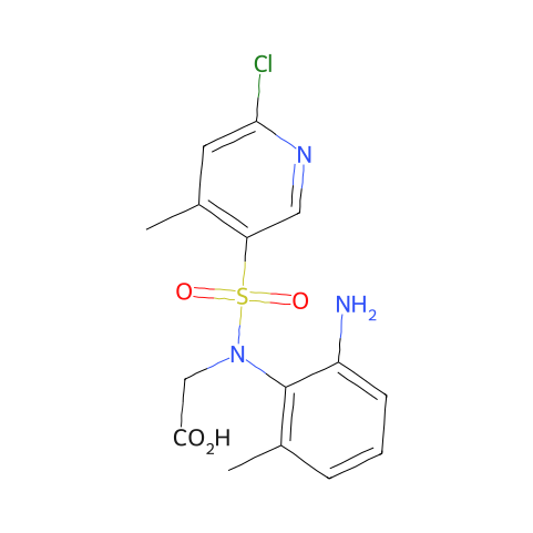 Cc1cc(Cl)ncc1S(=O)(=O)N(CC(=O)O)c1c(C)cccc1N